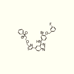 O=S(=O)(CCOCc1nc(-c2ccc3ncnc(Nc4ccc(OCc5cccc(F)c5)c(Br)c4)c3c2)cs1)c1ccccc1